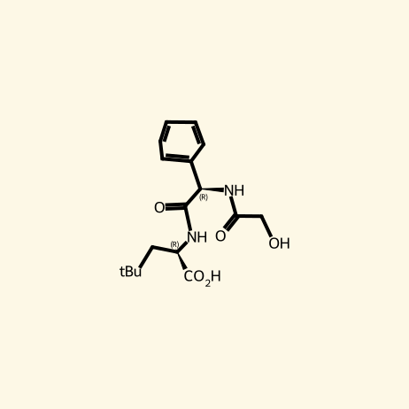 CC(C)(C)C[C@@H](NC(=O)[C@H](NC(=O)CO)c1ccccc1)C(=O)O